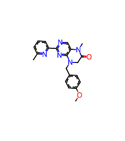 COc1ccc(CN2CC(=O)N(C)c3cnc(-c4cccc(C)n4)nc32)cc1